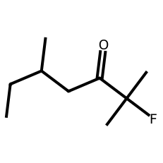 CCC(C)CC(=O)C(C)(C)F